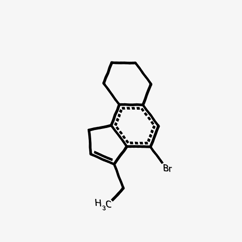 CCC1=CCc2c3c(cc(Br)c21)CCCC3